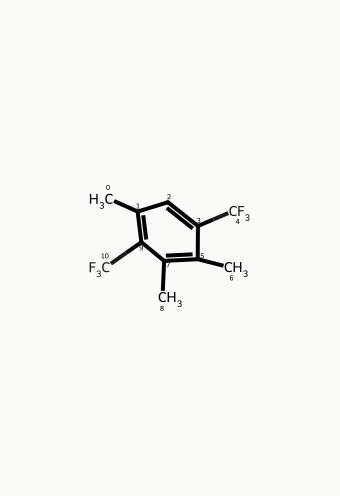 Cc1cc(C(F)(F)F)c(C)c(C)c1C(F)(F)F